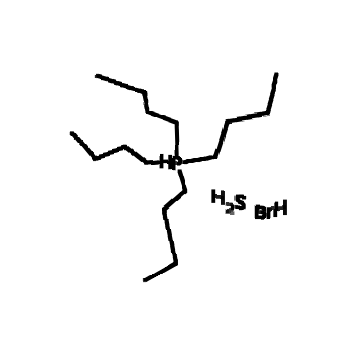 Br.CCCC[PH](CCCC)(CCCC)CCCC.S